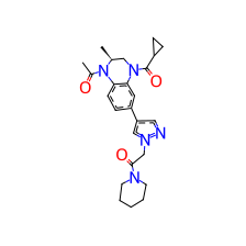 CC(=O)N1c2ccc(-c3cnn(CC(=O)N4CCCCC4)c3)cc2N(C(=O)C2CC2)C[C@@H]1C